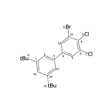 CC(C)(C)c1cc(-c2cc(Cl)c(Cl)c(Br)c2)cc(C(C)(C)C)c1